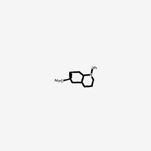 CCCN1CCCC2CC(OC)=CCC21